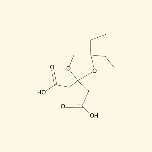 CCC1(CC)COC(CC(=O)O)(CC(=O)O)O1